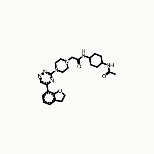 CC(=O)NC1CCC(NC(=O)CN2CCN(c3nncc(-c4cccc5c4OCC5)n3)CC2)CC1